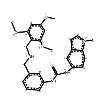 COc1cc(OC)c(CNCc2cccc(NC(=O)Nc3ccc4c(ccn4C)c3)c2)c(OC)c1